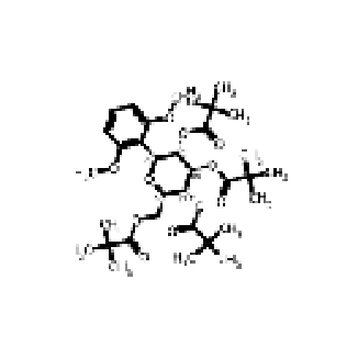 COc1cccc(OC)c1[C@@H]1O[C@H](COC(=O)C(C)(C)C)[C@@H](OC(=O)C(C)(C)C)[C@H](OC(=O)C(C)(C)C)[C@H]1OC(=O)C(C)(C)C